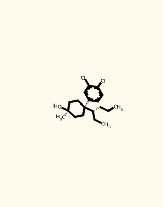 CCC[C@H](CC)[C@]1(c2ccc(Cl)c(Cl)c2)CC[C@](C)(O)CC1